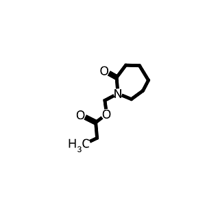 CCC(=O)OCN1CCCCCC1=O